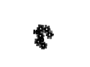 c1ccc(-c2cccc(-c3cccc(Nc4ccc5oc6c(-c7ccccc7)cccc6c5c4)c3)c2)cc1